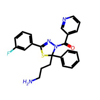 NCCCC1(c2ccccc2)SC(c2cccc(F)c2)=NN1C(=O)c1cccnc1